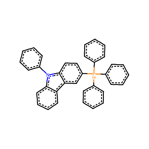 c1ccc(-n2c3ccccc3c3cc([PH](c4ccccc4)(c4ccccc4)c4ccccc4)ccc32)cc1